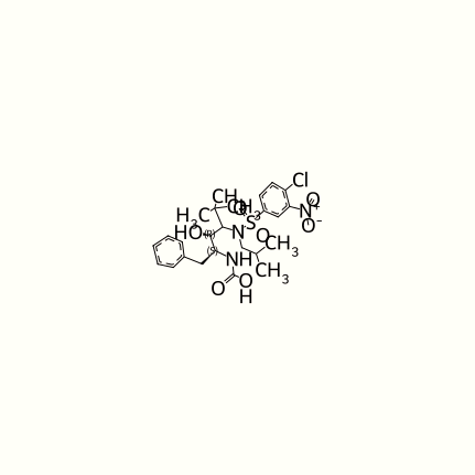 CC(C)CN(C([C@H](O)[C@H](Cc1ccccc1)NC(=O)O)C(C)(C)C)S(=O)(=O)c1ccc(Cl)c([N+](=O)[O-])c1